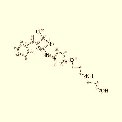 OCCCNCCCOc1ccc(Nc2ncc(Cl)c(Nc3ccccc3)n2)cc1